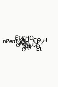 CCCCCC(C(=O)NCNC(=O)c1ccc(-c2cc(OCC)c(F)c(C(=O)O)c2)o1)C(CC)N(O)C=O